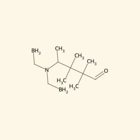 BCN(CB)C(C)C(C)(C)C(C)(C)C=O